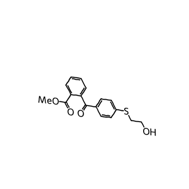 COC(=O)c1ccccc1C(=O)c1ccc(SCCO)cc1